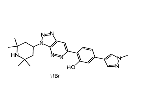 Br.Cn1cc(-c2ccc(-c3cc4nnn(C5CC(C)(C)NC(C)(C)C5)c4nn3)c(O)c2)cn1